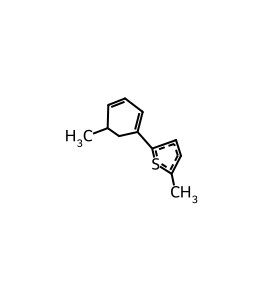 Cc1ccc(C2=CC=CC(C)C2)s1